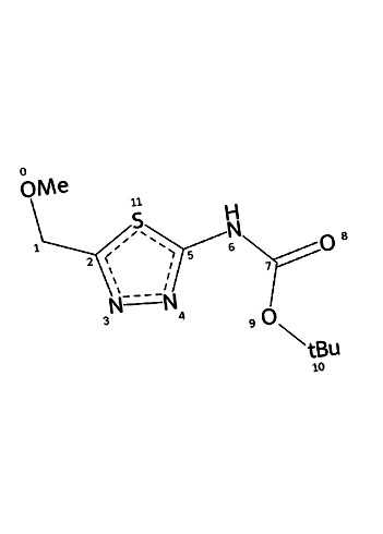 COCc1nnc(NC(=O)OC(C)(C)C)s1